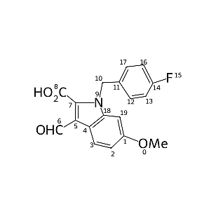 COc1ccc2c(C=O)c(C(=O)O)n(Cc3ccc(F)cc3)c2c1